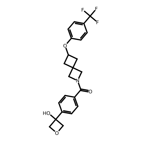 O=C(c1ccc(C2(O)COC2)cc1)N1CC2(CC(Oc3ccc(C(F)(F)F)cc3)C2)C1